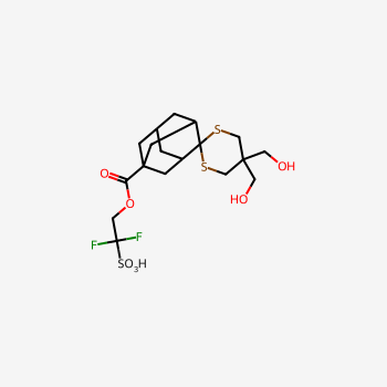 O=C(OCC(F)(F)S(=O)(=O)O)C12CC3CC(C1)C1(SCC(CO)(CO)CS1)C(C3)C2